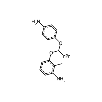 CCCC(Oc1ccc(N)cc1)Oc1cccc(N)c1C